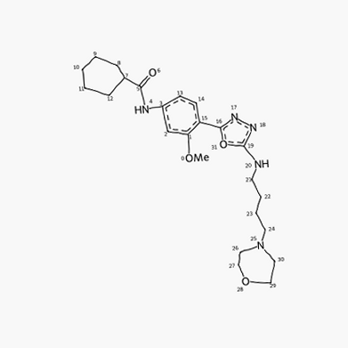 COc1cc(NC(=O)C2CCCCC2)ccc1-c1nnc(NCCCCN2CCOCC2)o1